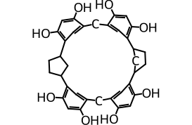 Oc1cc(O)c2cc1Cc1cc(c(O)cc1O)C1CCC(C1)c1cc(c(O)cc1O)Cc1cc(c(O)cc1O)C1CCC2C1